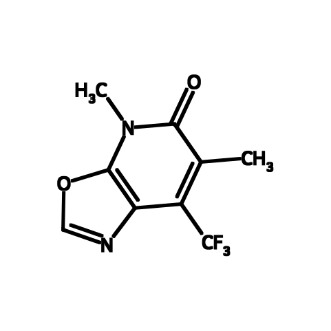 Cc1c(C(F)(F)F)c2ncoc2n(C)c1=O